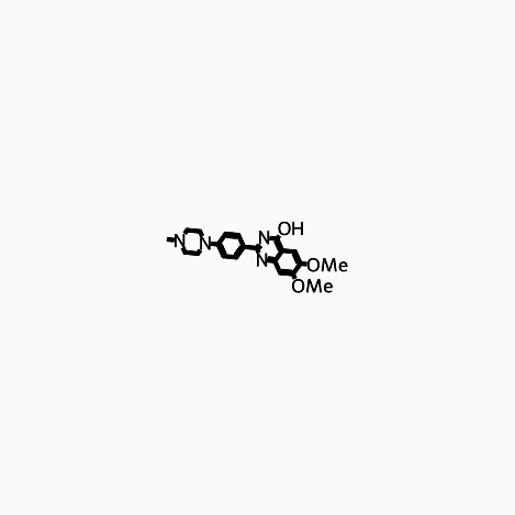 COc1cc2nc(-c3ccc(N4CCN(C)CC4)cc3)nc(O)c2cc1OC